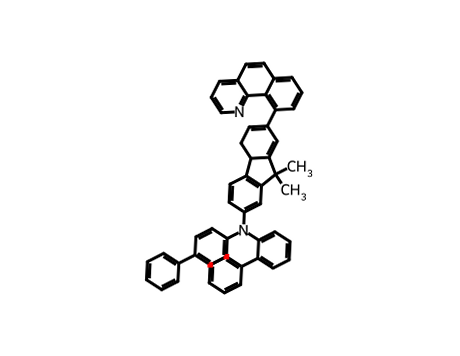 CC1(C)C2=CC(c3cccc4ccc5cccnc5c34)=CCC2c2ccc(N(c3ccc(-c4ccccc4)cc3)c3ccccc3-c3ccccc3)cc21